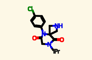 CC(C)N1CC(=O)N(c2ccc(Cl)cc2)C2(CNC2)C1=O